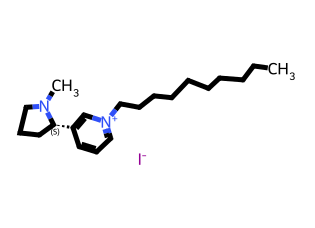 CCCCCCCCCC[n+]1cccc([C@@H]2CCCN2C)c1.[I-]